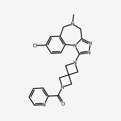 CN1Cc2cc(Cl)ccc2-n2c(nnc2N2CC3(CN(C(=O)c4ccccn4)C3)C2)C1